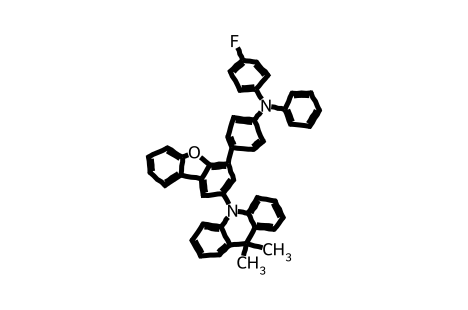 CC1(C)c2ccccc2N(c2cc(-c3ccc(N(c4ccccc4)c4ccc(F)cc4)cc3)c3oc4ccccc4c3c2)c2ccccc21